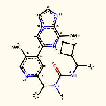 CCN(C(=O)NC(C1CCC1)C(F)(F)F)C(c1cc(-c2cn3ccnc3c(OC)n2)c(OC)cn1)C(F)(F)F